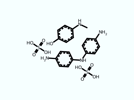 CNc1ccc(O)cc1.Nc1ccc(Nc2ccc(N)cc2)cc1.O=S(=O)(O)O.O=S(=O)(O)O